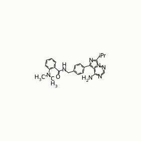 CC(C)c1nc(-c2ccc(CNC(=O)c3ccccc3N(C)C)cc2)c2c(N)ncnn12